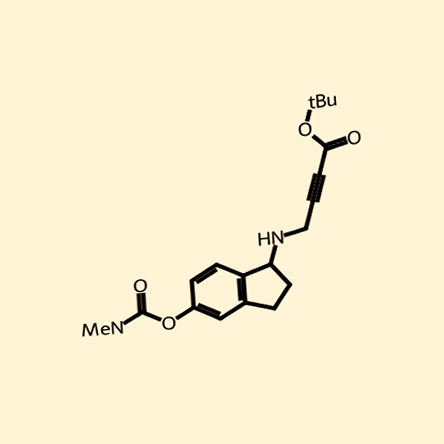 CNC(=O)Oc1ccc2c(c1)CCC2NCC#CC(=O)OC(C)(C)C